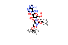 CC(C)(C)OC(=O)C[C@@H](NC(=O)OC(C)(C)C)C(=O)N[C@@H]1[C@@H](O)[C@H](O)[C@@H](Nc2ncnc3nc[nH]c23)O[C@H]1CO